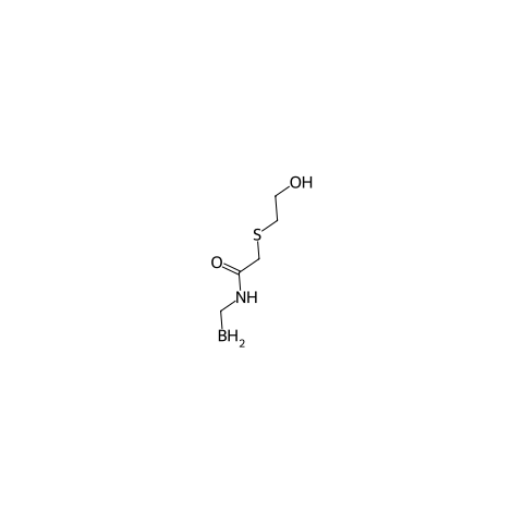 BCNC(=O)CSCCO